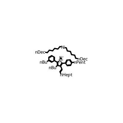 CCCCCCCC=CC1=C(c2ccc(CCCCC)cc2)[N+](=[N-])C(c2cccc(CCCC)c2)=C1CCCC.CCCCCCCCCCCCCCC[CH2][Ni][CH2]CCCCCCCCCCCCCCC